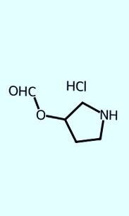 Cl.O=COC1CCNC1